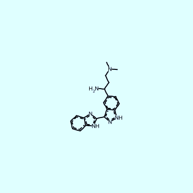 CN(C)CCC(N)c1ccc2[nH]nc(-c3nc4ccccc4[nH]3)c2c1